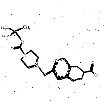 CC(C)(C)OC(=O)N1CCN(Cc2cc3c(cn2)CC(C(=O)O)CC3)CC1